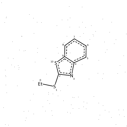 [CH2]CSc1nc2ccccc2s1